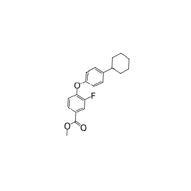 COC(=O)c1ccc(Oc2ccc(C3CCCCC3)cc2)c(F)c1